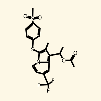 CC(=O)OC(C)c1c(C)c(Sc2ccc(S(C)(=O)=O)cc2)n2ccc(C(F)(F)F)cc12